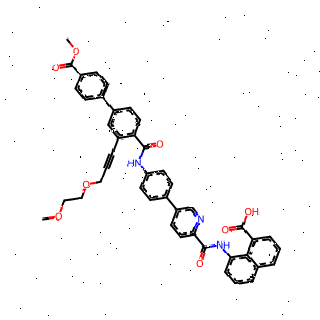 COCCOCC#Cc1cc(-c2ccc(C(=O)OC)cc2)ccc1C(=O)Nc1ccc(-c2ccc(C(=O)Nc3cccc4cccc(C(=O)O)c34)nc2)cc1